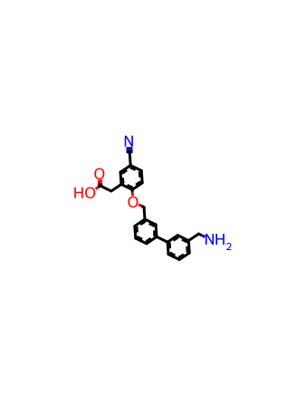 N#Cc1ccc(OCc2cccc(-c3cccc(CN)c3)c2)c(CC(=O)O)c1